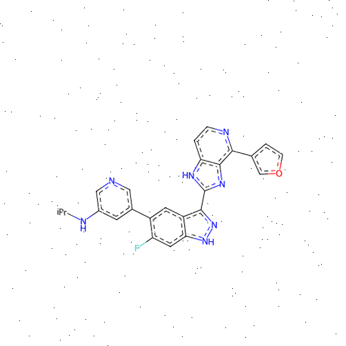 CC(C)Nc1cncc(-c2cc3c(-c4nc5c(-c6ccoc6)nccc5[nH]4)n[nH]c3cc2F)c1